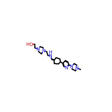 CN1CCN(c2ccc(C3CCC(=CNCCN4CCN(CCO)CC4)CC3)cn2)CC1